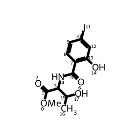 COC(=O)C(NC(=O)c1ccc(I)cc1O)C(C)O